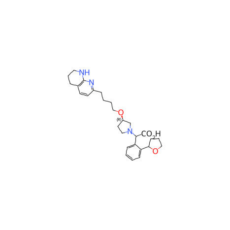 O=C(O)C(c1ccccc1C1CCCO1)N1CC[C@@H](OCCCCc2ccc3c(n2)NCCC3)C1